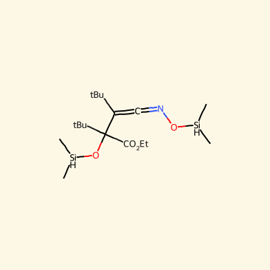 CCOC(=O)C(O[SiH](C)C)(C(=C=NO[SiH](C)C)C(C)(C)C)C(C)(C)C